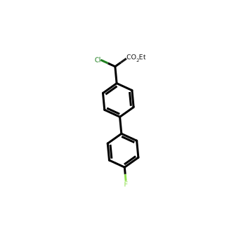 CCOC(=O)C(Cl)c1ccc(-c2ccc(F)cc2)cc1